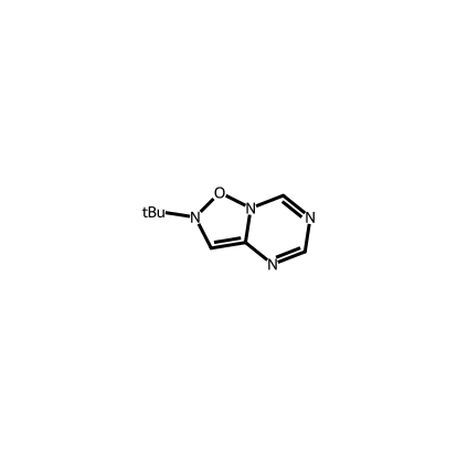 CC(C)(C)N1C=C2N=CN=CN2O1